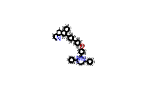 CCC1C(c2ccccn2)=CC(c2ccc(-c3ccc(Oc4ccc(C5=N/C(c6ccccc6)=C\CC/C(c6ccccc6)=N\5)cc4)cc3)cc2)=C2C=CC=CC21